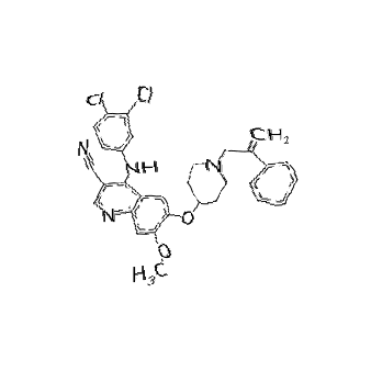 C=C(CN1CCC(Oc2cc3c(Nc4ccc(Cl)c(Cl)c4)c(C#N)cnc3cc2OC)CC1)c1ccccc1